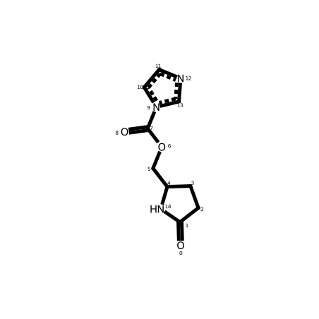 O=C1CCC(COC(=O)n2ccnc2)N1